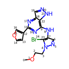 COCCn1ncc(Nc2nc(-c3ccoc3)nc3cn[nH]c23)c1Br